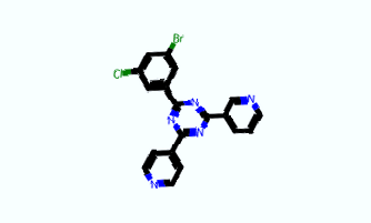 Clc1cc(Br)cc(-c2nc(-c3ccncc3)nc(-c3cccnc3)n2)c1